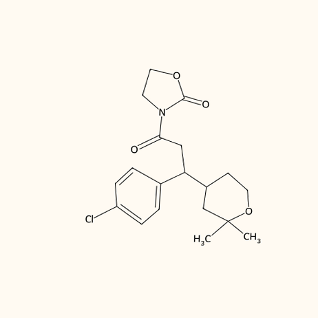 CC1(C)CC(C(CC(=O)N2CCOC2=O)c2ccc(Cl)cc2)CCO1